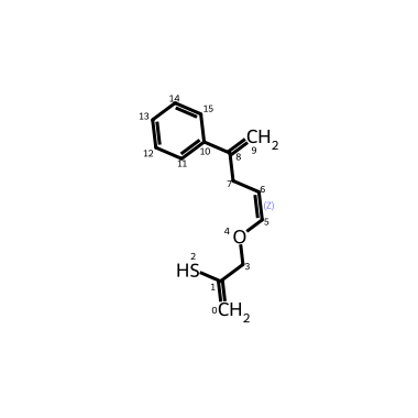 C=C(S)CO/C=C\CC(=C)c1ccccc1